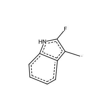 [CH2]c1c(F)[nH]c2ccccc12